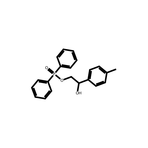 Cc1ccc(C(O)COP(=O)(c2ccccc2)c2ccccc2)cc1